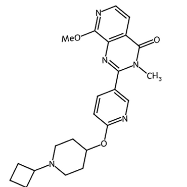 COc1nccc2c(=O)n(C)c(-c3ccc(OC4CCN(C5CCC5)CC4)nc3)nc12